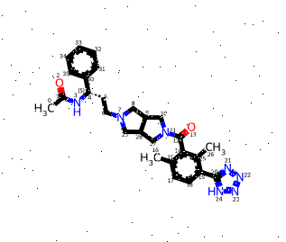 CC(=O)N[C@@H](CCN1CC2CN(C(=O)c3c(C)ccc(-c4nnn[nH]4)c3C)CC2C1)c1ccccc1